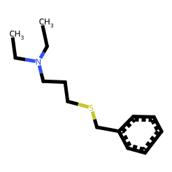 CCN(CC)CCCSCc1ccccc1